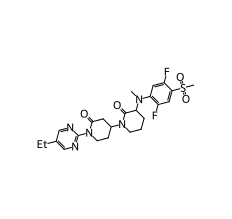 CCc1cnc(N2CCC(N3CCCC(N(C)c4cc(F)c(S(C)(=O)=O)cc4F)C3=O)CC2=O)nc1